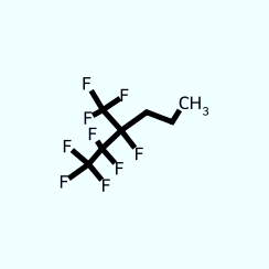 CCCC(F)(C(F)(F)F)C(F)(F)C(F)(F)F